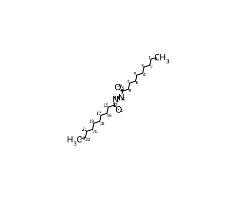 CCCCCCCCCC(=O)/N=N/C(=O)CCCCCCCCC